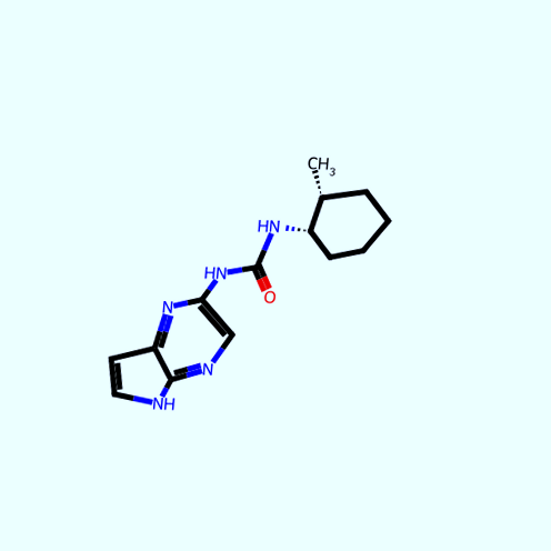 C[C@@H]1CCCC[C@@H]1NC(=O)Nc1cnc2[nH]ccc2n1